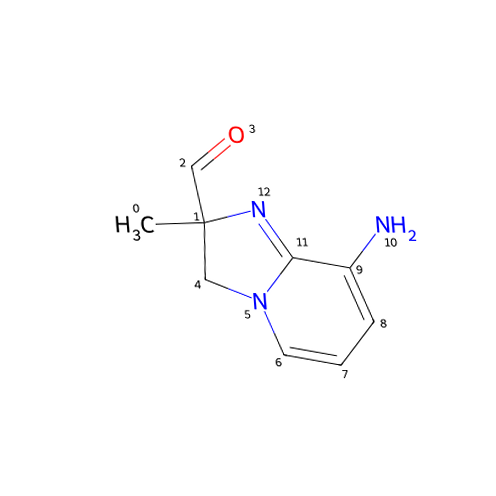 CC1(C=O)CN2C=CC=C(N)C2=N1